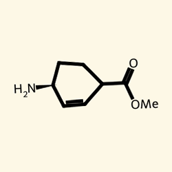 COC(=O)C1C=C[C@@H](N)CC1